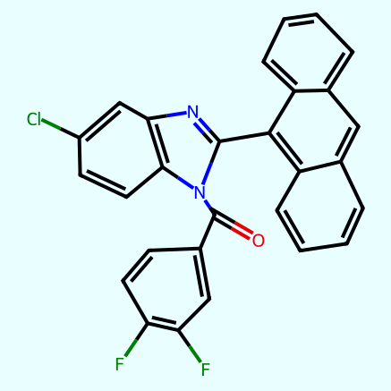 O=C(c1ccc(F)c(F)c1)n1c(-c2c3ccccc3cc3ccccc23)nc2cc(Cl)ccc21